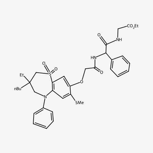 CCCCC1(CC)CN(c2ccccc2)c2cc(SC)c(OCC(=O)NC(C(=O)NCC(=O)OCC)c3ccccc3)cc2S(=O)(=O)C1